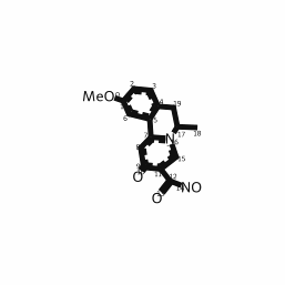 COc1ccc2c(c1)-c1cc(=O)c(C(=O)N=O)cn1C(C)C2